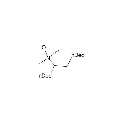 CCCCCCCCCCCC(CCCCCCCCCC)[N+](C)(C)[O-]